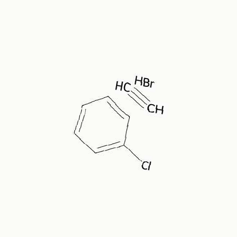 Br.C#C.Clc1ccccc1